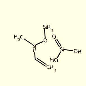 C=C[SiH](C)O[SiH3].O=[Si](O)O